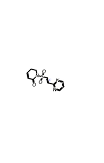 O=C1C=CCCN1S(=O)(=O)/C=C/c1ncccn1